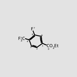 CCOC(=O)c1ccc(C(F)(F)F)c(F)c1